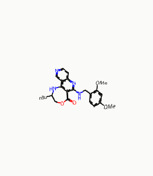 CCCCC1COC(=O)c2c(NCc3ccc(OC)cc3OC)nc3ccncc3c2N1